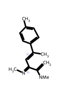 C=C(NC)C(/C=C(\C)c1ccc(C)cc1)=N/C